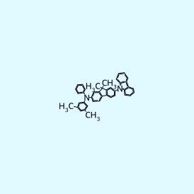 Cc1cc(C)cc(N(c2ccccc2)c2ccc3c(c2)C(C)(C)c2cc(-n4c5ccccc5c5ccccc54)ccc2-3)c1